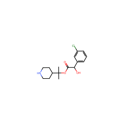 CC(C)(OC(=O)C(O)c1cccc(Cl)c1)C1CCNCC1